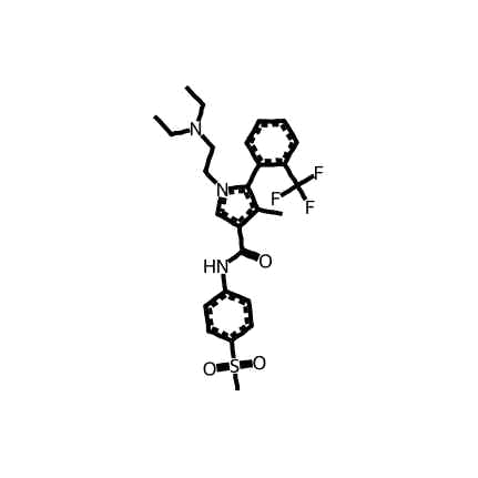 CCN(CC)CCn1cc(C(=O)Nc2ccc(S(C)(=O)=O)cc2)c(C)c1-c1ccccc1C(F)(F)F